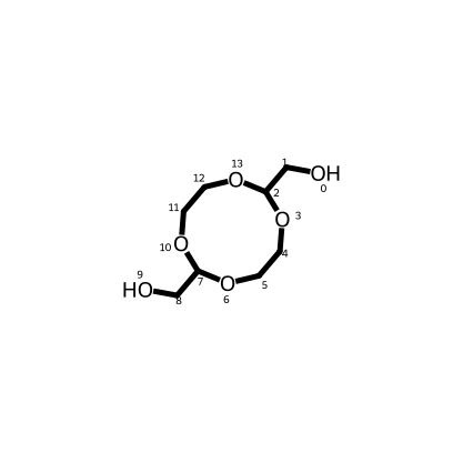 OCC1OCCOC(CO)OCCO1